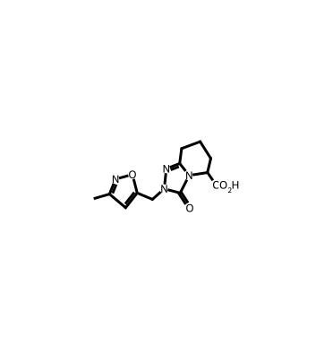 Cc1cc(Cn2nc3n(c2=O)C(C(=O)O)CCC3)on1